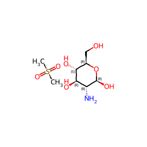 CS(C)(=O)=O.N[C@@H]1[C@@H](O)[C@H](O)[C@@H](CO)O[C@H]1O